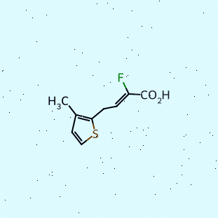 Cc1ccsc1CC=C(F)C(=O)O